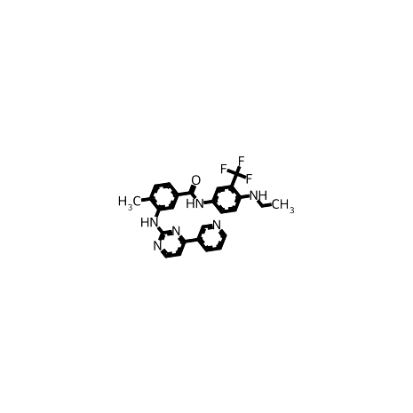 CCNc1ccc(NC(=O)c2ccc(C)c(Nc3nccc(-c4cccnc4)n3)c2)cc1C(F)(F)F